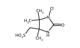 CC1(CS(=O)(=O)O)NC(=O)N(Cl)C1(C)C